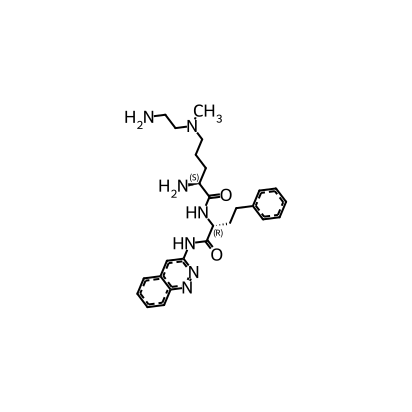 CN(CCN)CCC[C@H](N)C(=O)N[C@H](CCc1ccccc1)C(=O)Nc1cc2ccccc2nn1